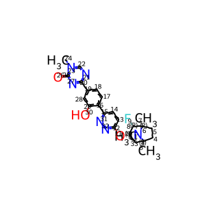 CN1[C@@]2(C)CC[C@]1(C)[C@@H](F)[C@@H](Oc1ccc(-c3ccc(-c4ncn(C)c(=O)n4)cc3O)nn1)C2